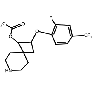 O=C(OC1C(Oc2ccc(C(F)(F)F)cc2F)CC12CCNCC2)C(F)(F)F